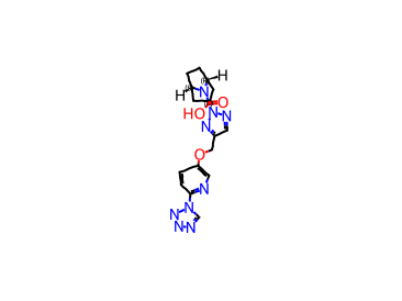 O=C(O)N1[C@@H]2CC[C@H]1C[C@@H](n1ncc(COc3ccc(-n4cnnn4)nc3)n1)C2